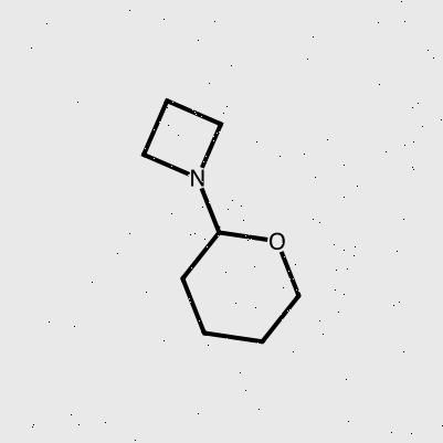 C1CC[C](N2CCC2)OC1